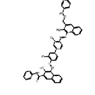 O=C(Nc1ccccc1)c1cc2ccccc2c(N=Nc2ccc(-c3ccc(N=Nc4c(O)c(CONc5ccccc5)cc5ccccc45)c(Cl)c3)cc2Cl)c1O